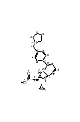 C1CC1.O=C(O)Nc1nc2cccc(-c3ccc(CN4CCCC4)cc3)n2n1